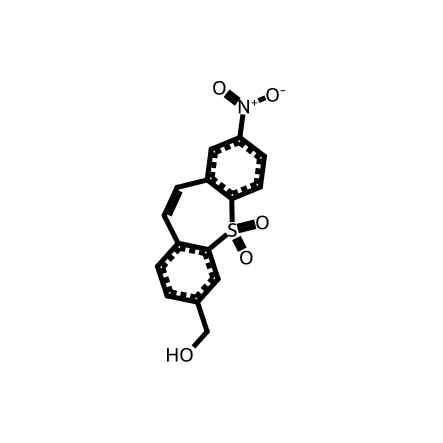 O=[N+]([O-])c1ccc2c(c1)C=Cc1ccc(CO)cc1S2(=O)=O